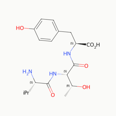 CC(C)[C@H](N)C(=O)N[C@H](C(=O)N[C@@H](Cc1ccc(O)cc1)C(=O)O)[C@@H](C)O